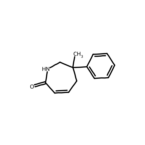 CC1(c2ccccc2)CC=CC(=O)NC1